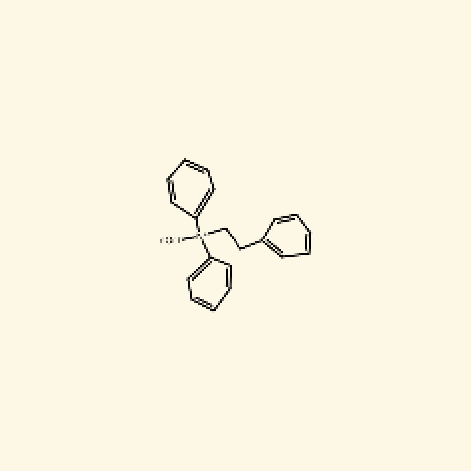 CCCCCCCC[N+](CCc1ccccc1)(c1ccccc1)c1ccccc1